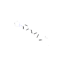 N#C/C(=C\c1ccc(/C=C/c2ccc(N3CCCCC3)cc2)s1)C(=O)O